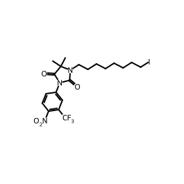 CC1(C)C(=O)N(c2ccc([N+](=O)[O-])c(C(F)(F)F)c2)C(=O)N1CCCCCCCCI